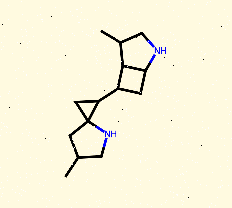 CC1CNC2(C1)CC2C1CC2NCC(C)C21